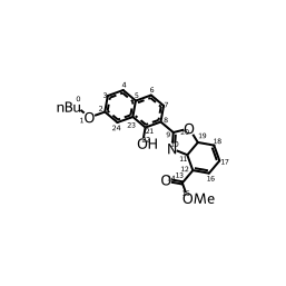 CCCCOc1ccc2ccc(C3=NC4C(C(=O)OC)=CC=CC4O3)c(O)c2c1